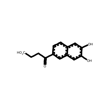 O=C(O)CCC(=O)c1ccc2cc(O)c(O)cc2c1